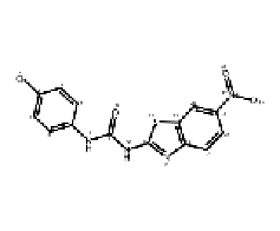 O=C(Nc1ccc(Cl)cc1)Nc1nc2ccc([N+](=O)[O-])cc2s1